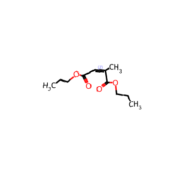 CCCOC(=O)/C=C(/C)C(=O)OCCC